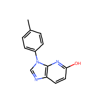 Cc1ccc(-n2cnc3ccc(O)nc32)cc1